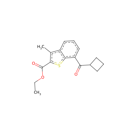 CCOC(=O)c1sc2c(C(=O)C3CCC3)cccc2c1C